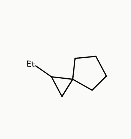 [CH2]CC1CC12CCCC2